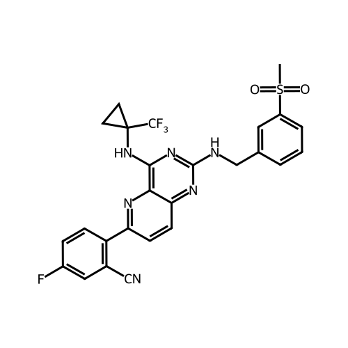 CS(=O)(=O)c1cccc(CNc2nc(NC3(C(F)(F)F)CC3)c3nc(-c4ccc(F)cc4C#N)ccc3n2)c1